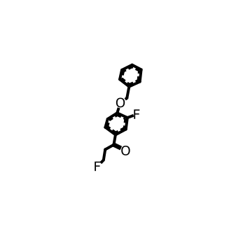 O=C(CCF)c1ccc(OCc2ccccc2)c(F)c1